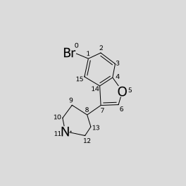 Brc1ccc2occ(C3CC[N]CC3)c2c1